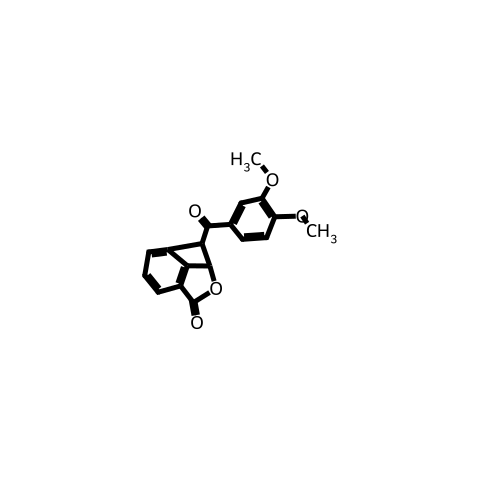 COc1ccc(C(=O)C2c3cccc4c3C2OC4=O)cc1OC